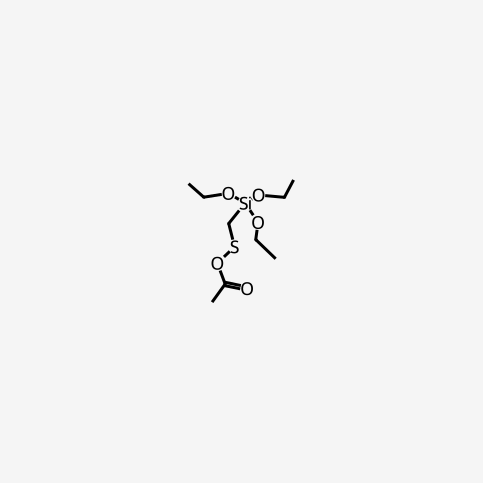 CCO[Si](CSOC(C)=O)(OCC)OCC